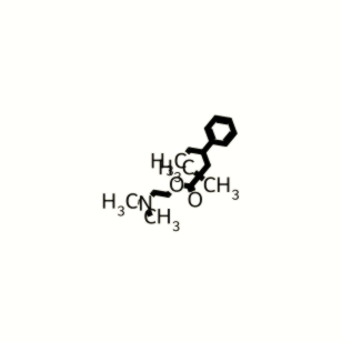 CCC(CC(C)(C)C(=O)OCCN(C)C)c1ccccc1